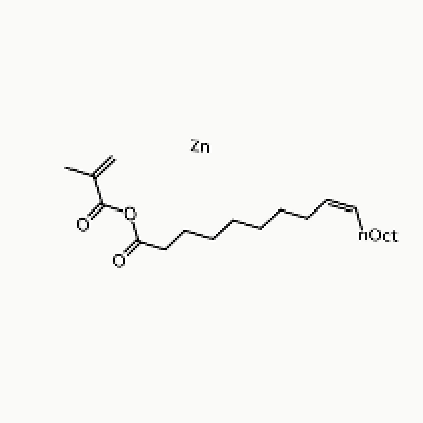 C=C(C)C(=O)OC(=O)CCCCCCC/C=C\CCCCCCCC.[Zn]